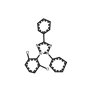 Clc1cccc(Cl)c1-[n+]1nc(-c2ccccc2)nn1-c1ccccc1